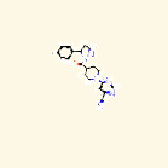 N#Cc1cc(N2CCC(C(=O)N3N=CCC3c3ccccc3)CC2)ncn1